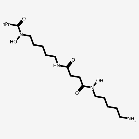 CCCC(=O)N(O)CCCCCNC(=O)CCC(=O)N(O)CCCCCN